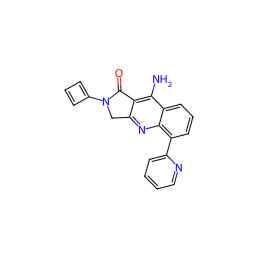 Nc1c2c(nc3c(-c4ccccn4)cccc13)CN(C1=CC=C1)C2=O